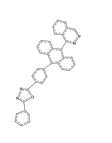 c1ccc(-c2nnc(-c3ccc(-c4c5ccccc5c(-c5nncc6ccccc56)c5ccccc45)cc3)o2)cc1